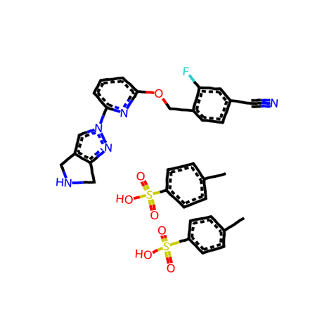 Cc1ccc(S(=O)(=O)O)cc1.Cc1ccc(S(=O)(=O)O)cc1.N#Cc1ccc(COc2cccc(-n3cc4c(n3)CNC4)n2)c(F)c1